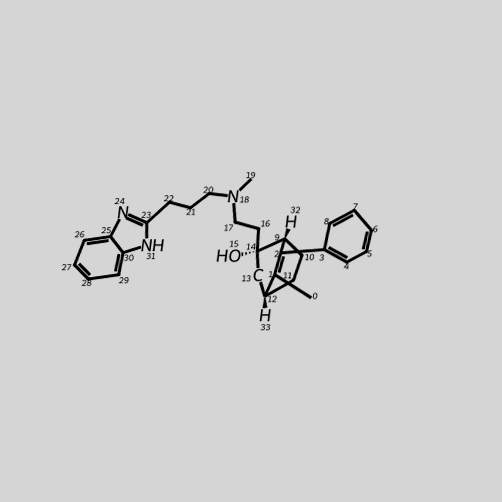 CC1=C(c2ccccc2)[C@H]2CC[C@@H]1C[C@@]2(O)CCN(C)CCCc1nc2ccccc2[nH]1